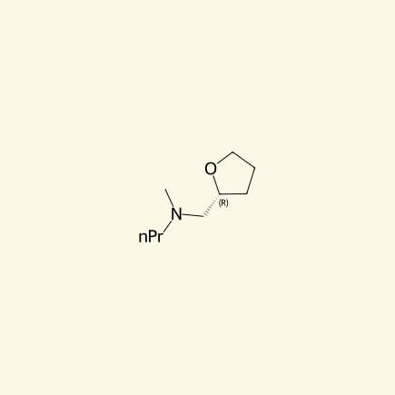 CCCN(C)C[C@H]1CCCO1